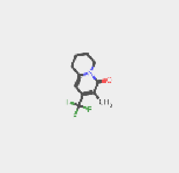 Cc1c(C(F)(F)F)cc2n(c1=O)CCCC2